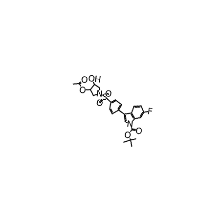 CC(=O)OC1CN(S(=O)(=O)c2ccc(-c3cn(C(=O)OC(C)(C)C)c4cc(F)ccc34)cc2)CC1O